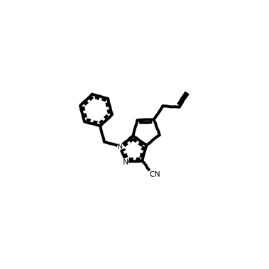 C=CCC1=Cc2c(c(C#N)nn2Cc2ccccc2)C1